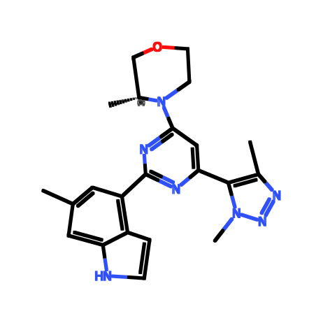 Cc1cc(-c2nc(-c3c(C)nnn3C)cc(N3CCOC[C@H]3C)n2)c2cc[nH]c2c1